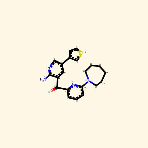 Nc1ncc(-c2ccsc2)cc1C(=O)c1cccc(N2CCCCCC2)n1